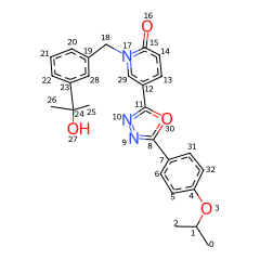 CC(C)Oc1ccc(-c2nnc(-c3ccc(=O)n(Cc4cccc(C(C)(C)O)c4)c3)o2)cc1